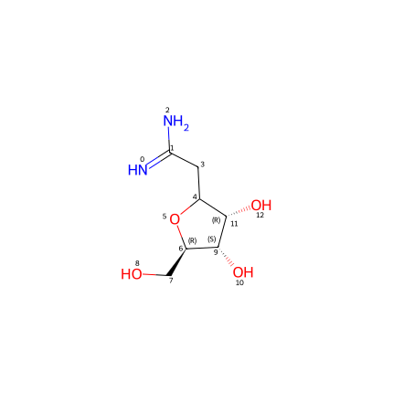 N=C(N)CC1O[C@H](CO)[C@@H](O)[C@H]1O